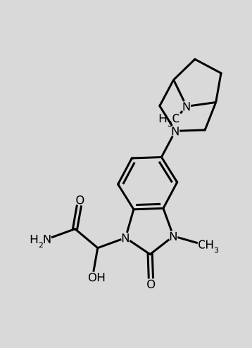 CN1C2CCC1CN(c1ccc3c(c1)n(C)c(=O)n3C(O)C(N)=O)C2